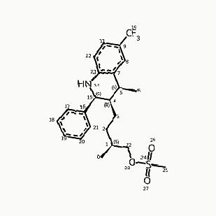 C[C@@H](CC[C@@H]1[C@H](C)c2cc(C(F)(F)F)ccc2N[C@@H]1c1ccccc1)COS(C)(=O)=O